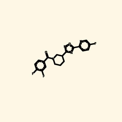 O=C(c1ccc(F)c(F)c1)N1CCCC(c2noc(-c3ccc(F)cn3)n2)C1